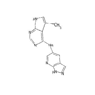 Cc1c[nH]c2ncnc(Nc3cnc4[nH]ncc4c3)c12